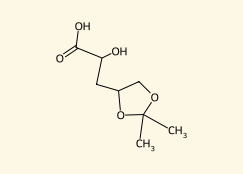 CC1(C)OCC(CC(O)C(=O)O)O1